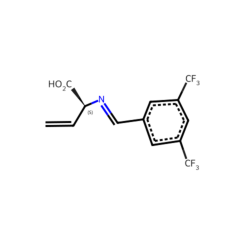 C=C[C@H](N=Cc1cc(C(F)(F)F)cc(C(F)(F)F)c1)C(=O)O